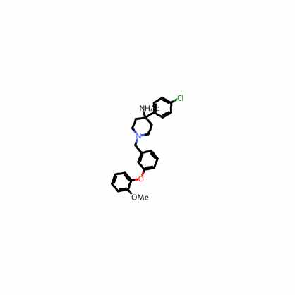 COc1ccccc1Oc1cccc(CN2CCC(NC(C)=O)(c3ccc(Cl)cc3)CC2)c1